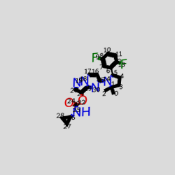 CC1(C)CC[C@H](c2cc(F)ccc2F)N1c1ccn2ncc(OC(=O)NC3CC3)c2n1